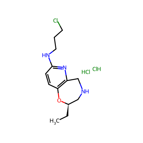 CC[C@@H]1CNCc2nc(NCCCCl)ccc2O1.Cl.Cl